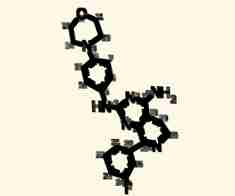 Nc1nc(Nc2ccc(N3CCOCC3)cc2)nc2c(-c3cccc(F)c3)nccc12